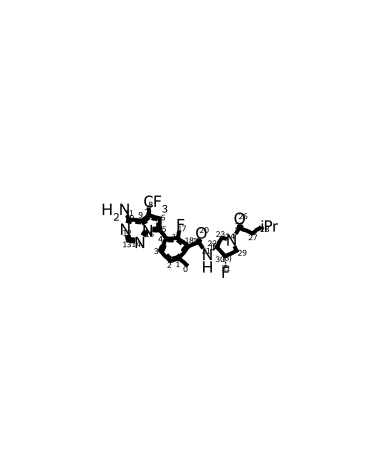 Cc1ccc(-c2cc(C(F)(F)F)c3c(N)ncnn23)c(F)c1C(=O)N[C@@H]1CN(C(=O)CC(C)C)C[C@@H]1F